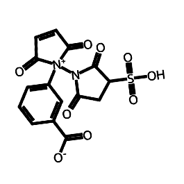 O=C([O-])c1cccc([N+]2(N3C(=O)CC(S(=O)(=O)O)C3=O)C(=O)C=CC2=O)c1